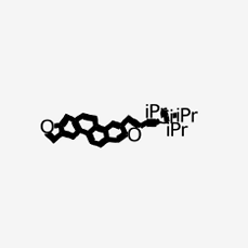 CC(C)[Si](C#Cc1cc2cc3c(ccc4c5cc6ccoc6cc5ccc34)cc2o1)(C(C)C)C(C)C